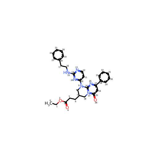 CCOC(=O)CCC1CN(c2ccnc(NCCc3ccccc3)n2)c2nc(-c3ccccc3)cc(=O)n2C1